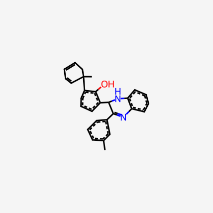 Cc1cccc(C2=Nc3ccccc3NC2c2cccc(C3(C)C=CC=CC3)c2O)c1